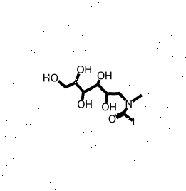 CN(CC(O)C(O)C(O)C(O)CO)C(=O)I